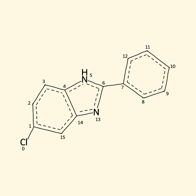 Clc1ccc2[nH]c(-c3ccccc3)nc2c1